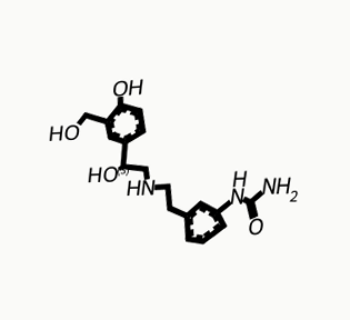 NC(=O)Nc1cccc(CCNC[C@@H](O)c2ccc(O)c(CO)c2)c1